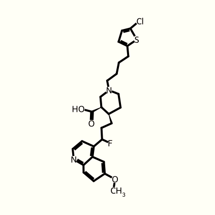 COc1ccc2nccc(C(F)CC[C@@H]3CCN(CCCCc4ccc(Cl)s4)C[C@@H]3C(=O)O)c2c1